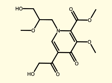 COC(=O)c1c(OC)c(=O)c(C(=O)CO)cn1CC(CO)OC